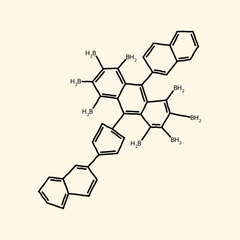 Bc1c(B)c(B)c2c(-c3ccc4ccccc4c3)c3c(B)c(B)c(B)c(B)c3c(-c3ccc(-c4ccc5ccccc5c4)cc3)c2c1B